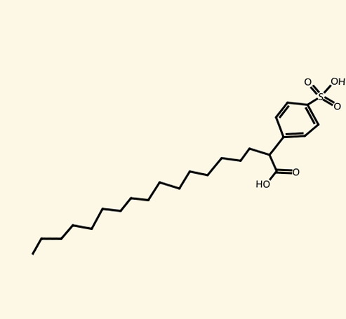 CCCCCCCCCCCCCCCCC(C(=O)O)c1ccc(S(=O)(=O)O)cc1